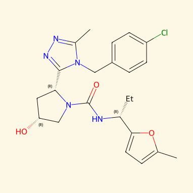 CC[C@@H](NC(=O)N1C[C@H](O)C[C@@H]1c1nnc(C)n1Cc1ccc(Cl)cc1)c1ccc(C)o1